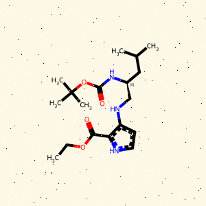 CCOC(=O)c1[nH]ccc1NC[C@H](CC(C)C)NC(=O)OC(C)(C)C